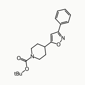 CC(C)(C)OC(=O)N1CCC(c2cc(-c3ccccc3)no2)CC1